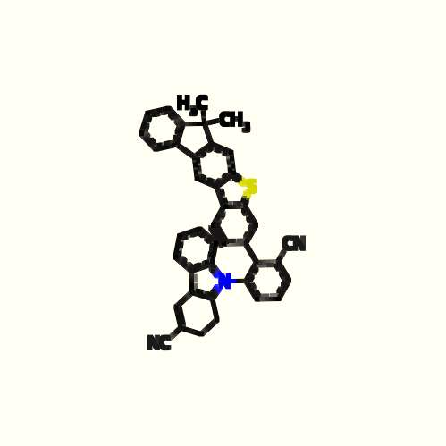 CC1(C)c2ccccc2-c2cc3c(cc21)sc1cc(-c2c(C#N)cccc2-n2c4c(c5ccccc52)C=C(C#N)CC4)c#cc13